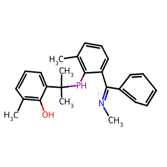 C/N=C(\c1ccccc1)c1cccc(C)c1PC(C)(C)c1cccc(C)c1O